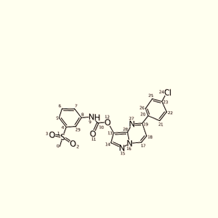 CS(=O)(=O)c1cccc(NC(=O)Oc2cnn3ccc(-c4ccc(Cl)cc4)nc23)c1